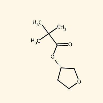 CC(C)(C)C(=O)O[C@H]1CCOC1